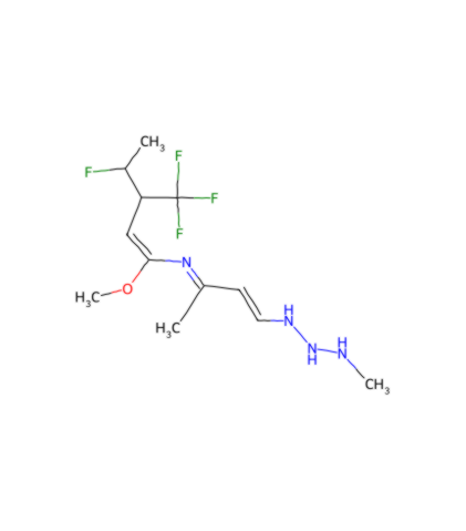 CNNN/C=C/C(C)=N/C(=C\C(C(C)F)C(F)(F)F)OC